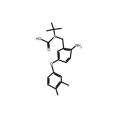 Cc1ccc(Oc2ccc(N)c(CN(C(=O)O)C(C)(C)C)c2)cc1F